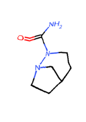 NC(=O)N1CCC2CCN1C2